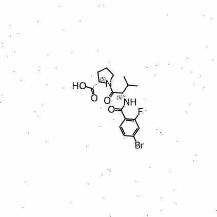 CC(C)[C@H](NC(=O)c1ccc(Br)cc1F)C(=O)N1CCC[C@H]1C(=O)O